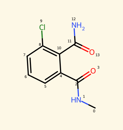 CNC(=O)c1cccc(Cl)c1C(N)=O